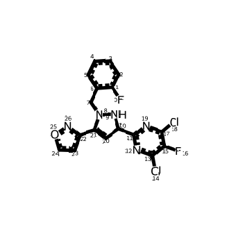 Fc1ccccc1CN1NC(c2nc(Cl)c(F)c(Cl)n2)C=C1c1ccon1